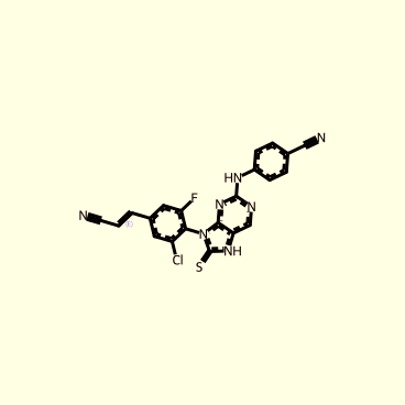 N#C/C=C/c1cc(F)c(-n2c(=S)[nH]c3cnc(Nc4ccc(C#N)cc4)nc32)c(Cl)c1